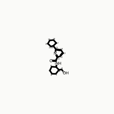 O=C(NC1CCCCC1CO)c1cccc(C2CCCCC2)n1